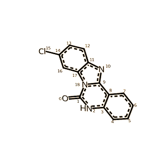 O=c1[nH]c2ccccc2c2nc3ccc(Cl)cc3n12